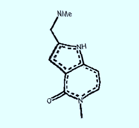 CNCc1cc2c(=O)n(C)ccc2[nH]1